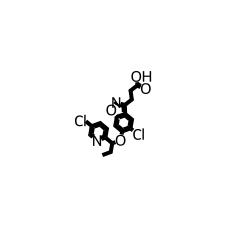 CCC(Oc1cc2onc(CCC(=O)O)c2cc1Cl)c1ccc(Cl)cn1